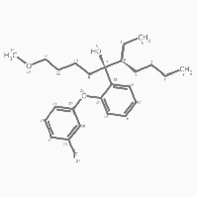 CCCC[C@H](CC)[C@@](O)(CCCCOC)c1ccccc1Oc1cccc(F)c1